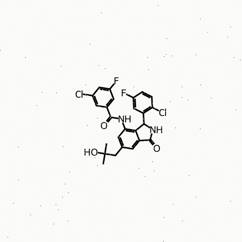 CC(C)(O)Cc1cc(NC(=O)c2cc(F)cc(Cl)c2)c2c(c1)C(=O)NC2c1cc(F)ccc1Cl